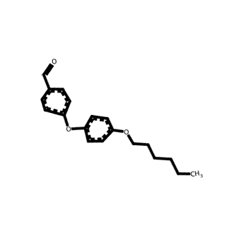 CCCCCCOc1ccc(Oc2ccc([C]=O)cc2)cc1